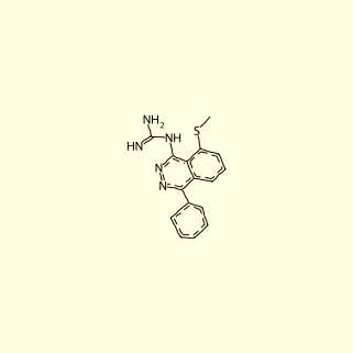 CSc1cccc2c(-c3ccccc3)nnc(NC(=N)N)c12